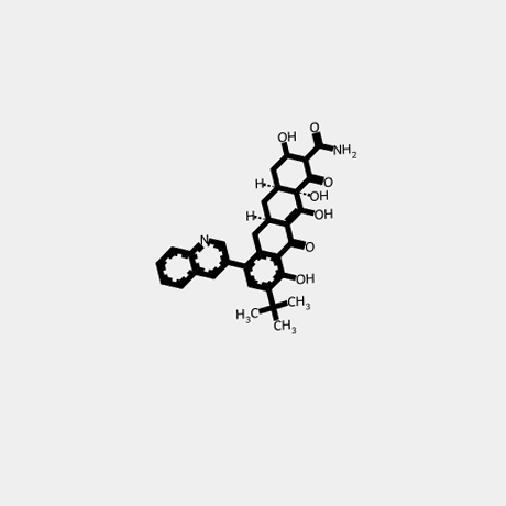 CC(C)(C)c1cc(-c2cnc3ccccc3c2)c2c(c1O)C(=O)C1=C(O)[C@]3(O)C(=O)C(C(N)=O)C(O)C[C@@H]3C[C@@H]1C2